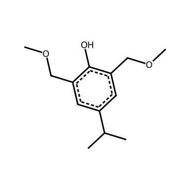 COCc1cc(C(C)C)cc(COC)c1O